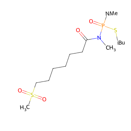 CCC(C)SP(=O)(NC)N(C)C(=O)CCCCCCS(C)(=O)=O